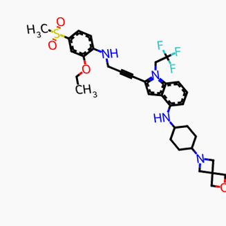 CCOc1cc(S(C)(=O)=O)ccc1NCC#Cc1cc2c(NC3CCC(N4CC5(COC5)C4)CC3)cccc2n1CC(F)(F)F